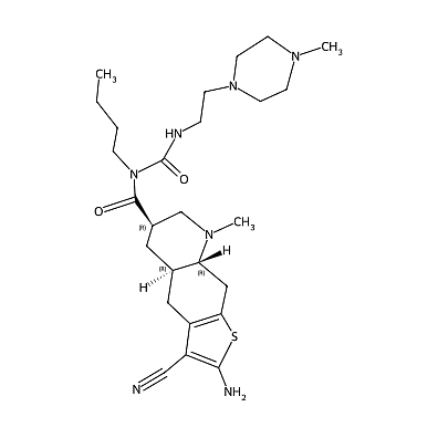 CCCCN(C(=O)NCCN1CCN(C)CC1)C(=O)[C@@H]1C[C@@H]2Cc3c(sc(N)c3C#N)C[C@H]2N(C)C1